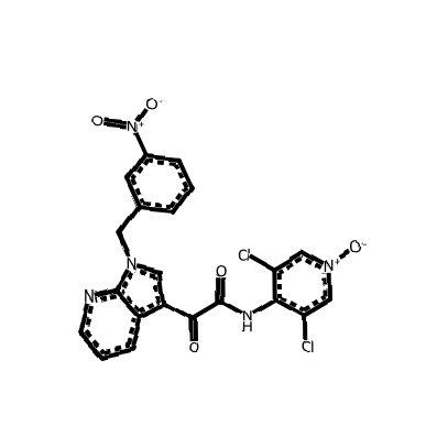 O=C(Nc1c(Cl)c[n+]([O-])cc1Cl)C(=O)c1cn(Cc2cccc([N+](=O)[O-])c2)c2ncccc12